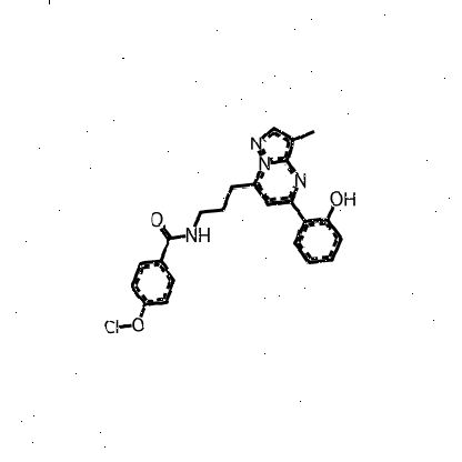 Cc1cnn2c(CCCNC(=O)c3ccc(OCl)cc3)cc(-c3ccccc3O)nc12